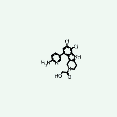 Nc1ccc(-c2cc(Cl)c(Cl)c3[nH]c4c(c23)CN(C(=O)CO)CC4)cn1